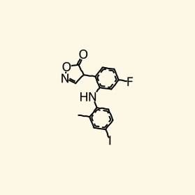 Cc1cc(I)ccc1Nc1cc(F)ccc1C1C=NOC1=O